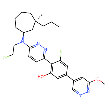 CCC[C@]1(C)CCCC[C@H](N(CCF)c2ccc(-c3c(O)cc(-c4cnnc(OC)c4)cc3F)nn2)C1